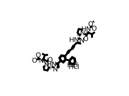 COC(=O)N[C@H](C(=O)N1CCC[C@H]1c1ncc(C#CC#Cc2ccc(-c3cnc([C@@H]4CCCN4C(=O)[C@@H](NC(=O)OC)C(C)C)[nH]3)cc2-c2ccccc2)[nH]1)C(C)C.Cl.Cl